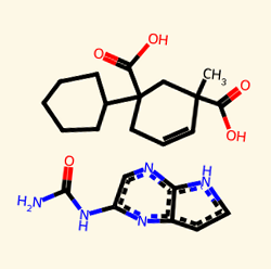 CC1(C(=O)O)C=CCC(C(=O)O)(C2CCCCC2)C1.NC(=O)Nc1cnc2[nH]ccc2n1